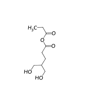 CCC(=O)OC(=O)CCC(CO)CO